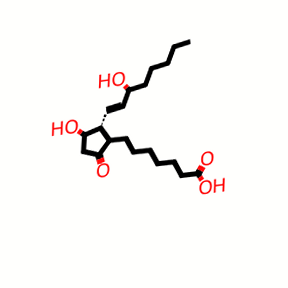 CCCCCC(O)/C=C/[C@H]1C(O)CC(=O)C1CCCCCCC(=O)O